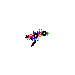 CCC=Cc1nc2cc(NS(=O)(=O)c3ccc(F)cc3)ccc2n1CC(=O)OC(C)(C)C